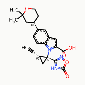 C#C[C@H]1C[C@]1(c1noc(=O)[nH]1)n1c(C(=O)O)cc2cc([C@H]3CCOC(C)(C)C3)ccc21